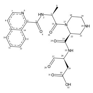 C[C@H](NC(=O)c1nccc2ccccc12)C(=O)N1CCNC[C@H]1C(=O)N[C@H](C=O)CC(=O)O